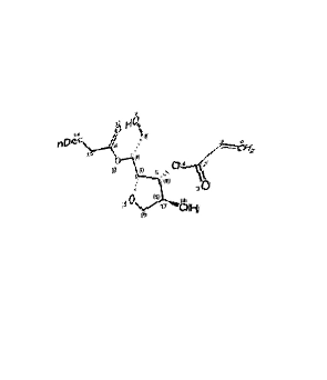 C=CC(=O)O[C@H]1[C@@H]([C@@H](CO)OC(=O)CCCCCCCCCCC)OC[C@@H]1O